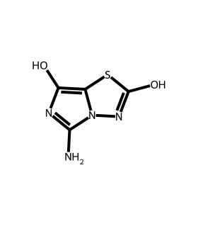 Nc1nc(O)c2sc(O)nn12